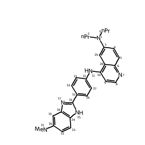 CCCN(CCC)c1ccc2nccc(Nc3ccc(-c4nc5cc(NC)ccc5[nH]4)cc3)c2c1